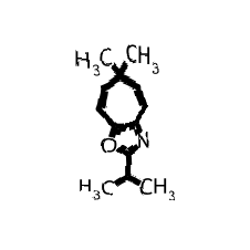 CC(C)c1nc2c(o1)C=CC(C)(C)C=C2